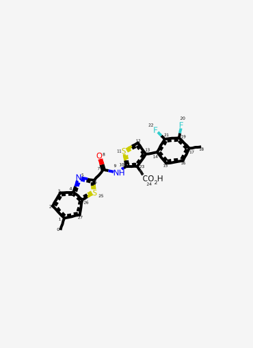 Cc1ccc2nc(C(=O)Nc3scc(-c4ccc(C)c(F)c4F)c3C(=O)O)sc2c1